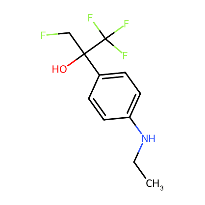 CCNc1ccc(C(O)(CF)C(F)(F)F)cc1